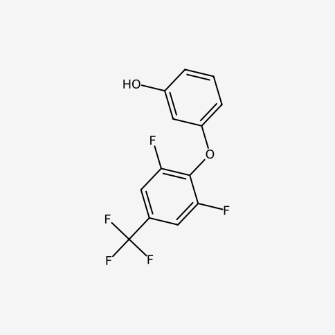 Oc1cccc(Oc2c(F)cc(C(F)(F)F)cc2F)c1